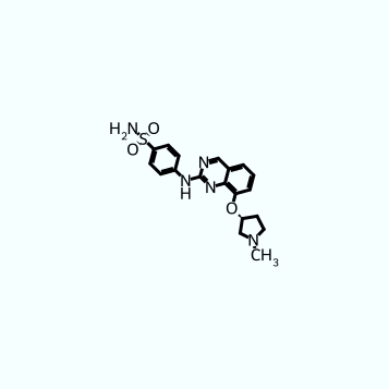 CN1CC[C@@H](Oc2cccc3cnc(Nc4ccc(S(N)(=O)=O)cc4)nc23)C1